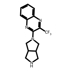 FC(F)(F)c1nc2ccccc2nc1N1CC2CNCC2C1